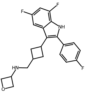 Fc1ccc(-c2[nH]c3c(F)cc(F)cc3c2C2CC(CNC3COC3)C2)cc1